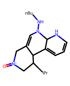 CCCCNN1C=C2C[N+](=O)CC(C(C)C)C2C2=CC=CNC21